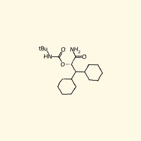 CC(C)(C)NC(=O)O[C@H](C(N)=O)C(C1CCCCC1)C1CCCCC1